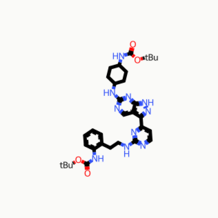 CC(C)(C)OC(=O)Nc1ccccc1CCNc1nccc(-c2n[nH]c3nc(NC4CCC(NC(=O)OC(C)(C)C)CC4)ncc23)n1